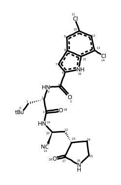 CC(C)(C)C[C@H](NC(=O)c1cc2cc(Cl)cc(Cl)c2[nH]1)C(=O)N[C@H](C#N)C[C@@H]1CCNC1=O